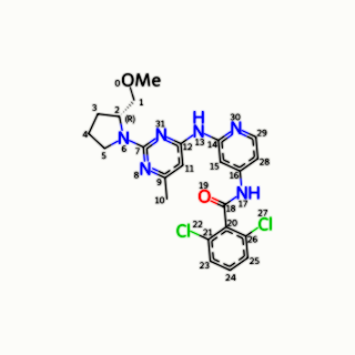 COC[C@H]1CCCN1c1nc(C)cc(Nc2cc(NC(=O)c3c(Cl)cccc3Cl)ccn2)n1